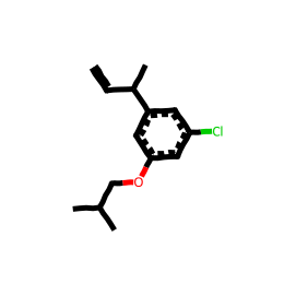 C=C[C](C)c1cc(Cl)cc(OCC(C)C)c1